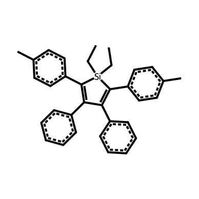 CC[Si]1(CC)C(c2ccc(C)cc2)=C(c2ccccc2)C(c2ccccc2)=C1c1ccc(C)cc1